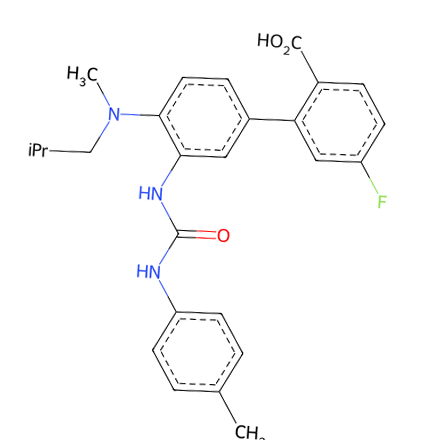 Cc1ccc(NC(=O)Nc2cc(-c3cc(F)ccc3C(=O)O)ccc2N(C)CC(C)C)cc1